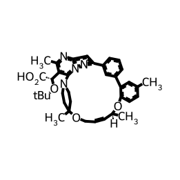 Cc1ccc2c(c1)-c1cccc(c1)-c1cc3nc(C)c([C@H](OC(C)(C)C)C(=O)O)c(n3n1)N1CCC(C)(CC1)OCC=C[C@H](C)O2